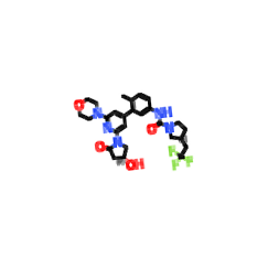 Cc1ccc(NC(=O)N2CC[C@@H](CC(F)(F)F)C2)cc1-c1cc(N2CCOCC2)nc(N2C[C@H](O)CC2=O)c1